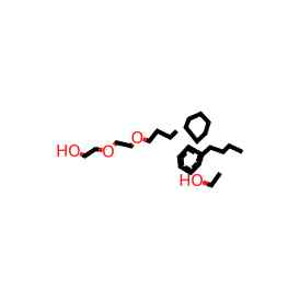 C1CCCCC1.CCCCOCCOCCO.CCCCc1ccccc1.CCO